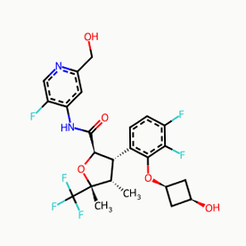 C[C@H]1[C@@H](c2ccc(F)c(F)c2O[C@H]2C[C@@H](O)C2)[C@H](C(=O)Nc2cc(CO)ncc2F)O[C@@]1(C)C(F)(F)F